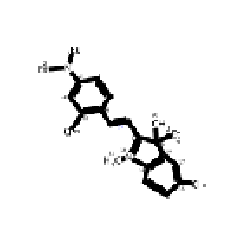 CCN(CC)c1ccc(/C=C/C2=[N+](C)c3ccc(Cl)cc3C2(C)CC)c(Cl)c1